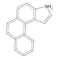 C1=Cc2c(ccc3ccc4ccccc4c23)[SiH2]1